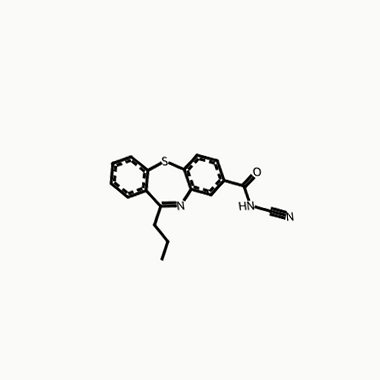 CCCC1=Nc2cc(C(=O)NC#N)ccc2Sc2ccccc21